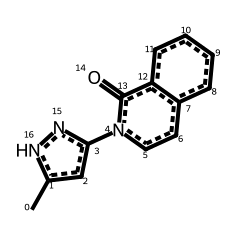 Cc1cc(-n2ccc3ccccc3c2=O)n[nH]1